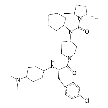 C[C@H]1CC[C@H](C)N1C(=O)N(C1CCCCC1)C1CCN(C(=O)[C@@H](Cc2ccc(Cl)cc2)NC2CCC(N(C)C)CC2)CC1